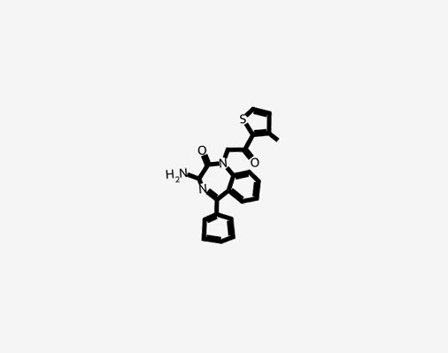 Cc1ccsc1C(=O)CN1C(=O)C(N)N=C(c2ccccc2)c2ccccc21